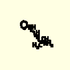 CC(C)(N)CNCCCNC1CCCCC1